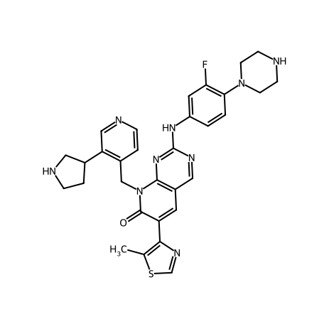 Cc1scnc1-c1cc2cnc(Nc3ccc(N4CCNCC4)c(F)c3)nc2n(Cc2ccncc2C2CCNC2)c1=O